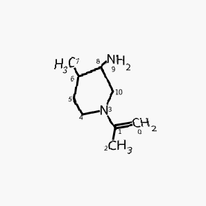 C=C(C)N1CCC(C)C(N)C1